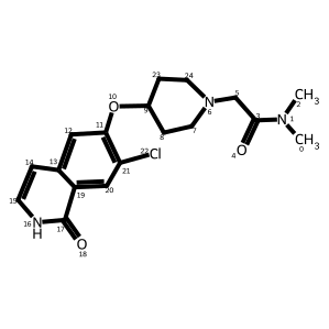 CN(C)C(=O)CN1CCC(Oc2cc3cc[nH]c(=O)c3cc2Cl)CC1